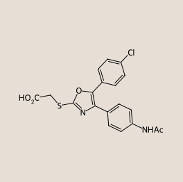 CC(=O)Nc1ccc(-c2nc(SCC(=O)O)oc2-c2ccc(Cl)cc2)cc1